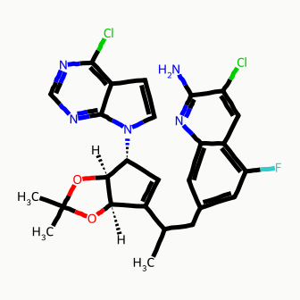 CC(Cc1cc(F)c2cc(Cl)c(N)nc2c1)C1=C[C@@H](n2ccc3c(Cl)ncnc32)[C@@H]2OC(C)(C)O[C@H]12